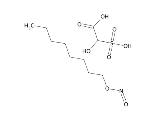 CCCCCCCCON=O.O=C(O)C(O)S(=O)(=O)O